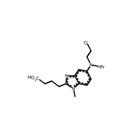 CCCN(CCCl)c1ccc2c(c1)nc(CCCC(=O)O)n2C